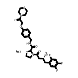 Cl.N[C@@H](CC(=O)N1CCSC1C(=O)NCc1ccc(OCC(=O)N2CCSCC2)cc1)Cc1cc(F)c(F)cc1F